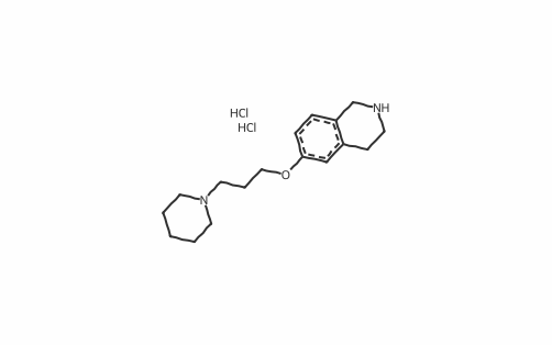 Cl.Cl.c1cc2c(cc1OCCCN1CCCCC1)CCNC2